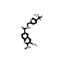 Cc1cc2cc(C(=O)NCc3ccc(C(F)(F)P)cn3)ccc2nc1NI